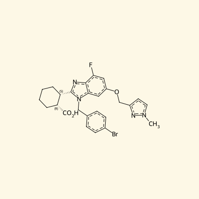 Cn1ccc(COc2cc(F)c3nc([C@H]4CCCC[C@H]4C(=O)O)n(Cc4ccc(Br)cc4)c3c2)n1